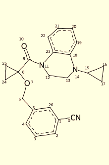 N#Cc1cccc(COC2(C(=O)N3CCN(C4CC4)c4ccccc43)CC2)c1